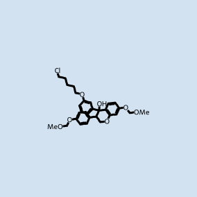 COCOc1ccc(C2COc3cc(OCOC)ccc3C2(O)c2cccc(OCCCCCCl)c2)cc1